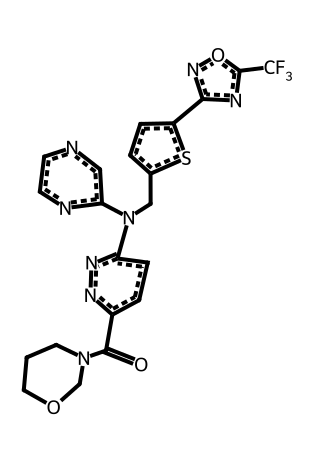 O=C(c1ccc(N(Cc2ccc(-c3noc(C(F)(F)F)n3)s2)c2cnccn2)nn1)N1CCCOC1